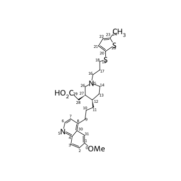 COc1ccc2nccc(CCC[C@@H]3CCN(CCCSc4ccc(C)s4)C[C@@H]3CC(=O)O)c2c1